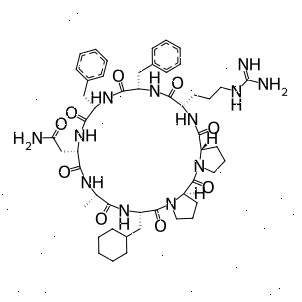 C[C@@H]1NC(=O)[C@H](CC(N)=O)NC(=O)[C@H](Cc2ccccc2)NC(=O)[C@H](Cc2ccccc2)NC(=O)[C@H](CCCNC(=N)N)NC(=O)[C@@H]2CCCN2C(=O)[C@H]2CCCN2C(=O)[C@H](CC2CCCCC2)NC1=O